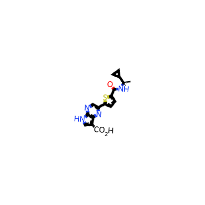 C[C@@H](NC(=O)c1ccc(-c2cnc3[nH]cc(C(=O)O)c3n2)s1)C1CC1